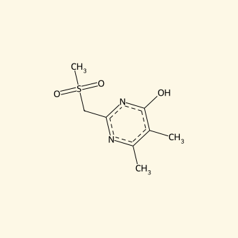 Cc1nc(CS(C)(=O)=O)nc(O)c1C